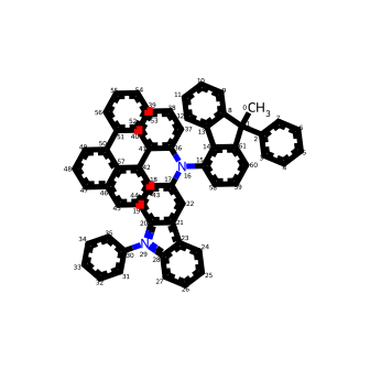 CC1(c2ccccc2)c2ccccc2-c2c(N(c3ccc4c(c3)c3ccccc3n4-c3ccccc3)c3ccccc3-c3cccc4cccc(-c5ccccc5)c34)cccc21